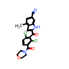 Cc1cc(C#N)cc2[nH]c(C(=O)c3c(Cl)ccc(C(=O)N4CCOCC4)c3Cl)cc12